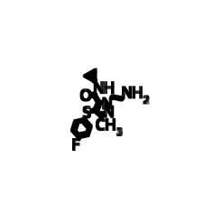 Cc1nn(CCN)c(C(=O)NC2CC2)c1Sc1ccc(F)cc1